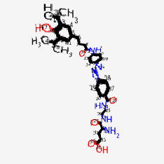 CC(C)c1cc(CCCC(=O)Nc2ccc(N=Nc3ccc(C(=O)NCCNC(=O)C(N)CCC(=O)O)cc3)cc2)cc(C(C)C)c1O